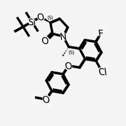 COc1ccc(OCc2c(Cl)cc(F)cc2[C@H](C)N2CC[C@H](O[Si](C)(C)C(C)(C)C)C2=O)cc1